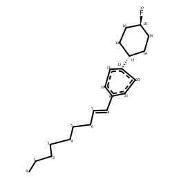 CCCCCCCC=Cc1ccc([C@H]2CC[C@H](F)CC2)cc1